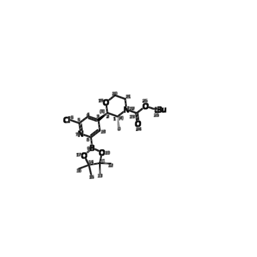 C[C@@H]1[C@@H](c2cc(Cl)nc(B3OC(C)(C)C(C)(C)O3)c2)OCCN1C(=O)OC(C)(C)C